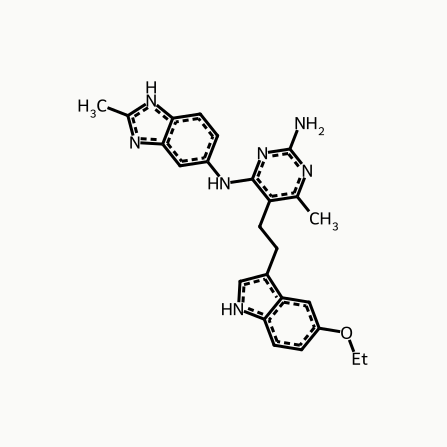 CCOc1ccc2[nH]cc(CCc3c(C)nc(N)nc3Nc3ccc4[nH]c(C)nc4c3)c2c1